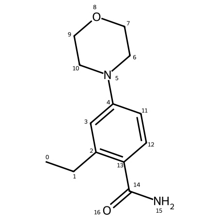 CCc1cc(N2CCOCC2)ccc1C(N)=O